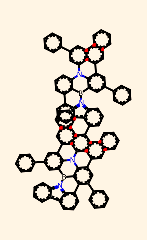 c1ccc(-c2cc(-c3ccccc3)cc(N3c4cccc5c4B(c4cc(-c6ccccc6)cc(-c6ccccc6)c43)n3c4cccc(-c6c(-c7ccccc7)cc(N7c8c(cc(-c9ccccc9)cc8-c8ccccc8)B8c9c(c(-c%10ccccc%10)cc(-c%10ccccc%10)c97)-c7cccc9c%10ccccc%10n8c79)cc6-c6ccccc6)c4c4cccc-5c43)c2)cc1